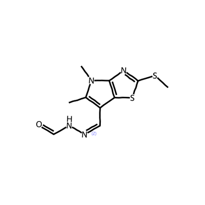 CSc1nc2c(s1)c(/C=N\NC=O)c(C)n2C